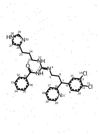 O=C(NC(=NCCC(c1ccc(Cl)c(Cl)c1)c1ccccn1)NCCCc1c[nH]cn1)c1ccccc1